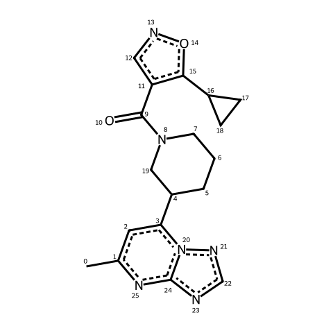 Cc1cc(C2CCCN(C(=O)c3cnoc3C3CC3)C2)n2ncnc2n1